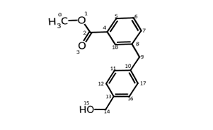 COC(=O)c1cccc(Cc2ccc(CO)cc2)c1